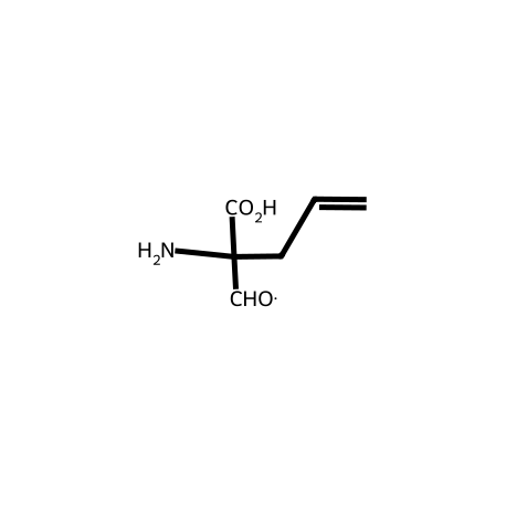 C=CCC(N)([C]=O)C(=O)O